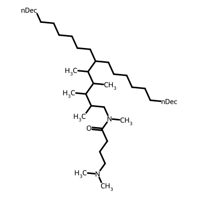 CCCCCCCCCCCCCCCCC(CCCCCCCCCCCCCCCC)C(C)C(C)C(C)C(C)CN(C)C(=O)CCCN(C)C